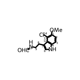 COc1ccc2[nH]cc(CCNC=O)c2c1Cl